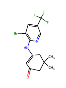 CC1(C)CC(=O)C=C(Nc2ncc(C(F)(F)F)cc2Br)C1